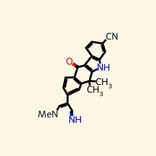 CN/C=C(\C=N)c1ccc2c(c1)C(C)(C)c1[nH]c3cc(C#N)ccc3c1C2=O